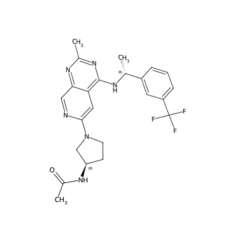 CC(=O)N[C@@H]1CCN(c2cc3c(N[C@H](C)c4cccc(C(F)(F)F)c4)nc(C)nc3cn2)C1